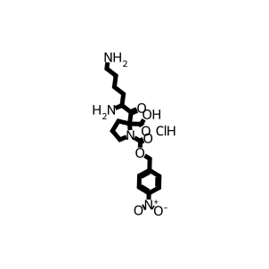 Cl.NCCCCC(N)C(=O)C1(C(=O)O)CCCN1C(=O)OCc1ccc([N+](=O)[O-])cc1